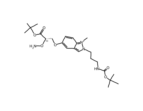 C[n+]1c2ccc(OC[C@H](ON)C(=O)OC(C)(C)C)cc2cn1CCCNC(=O)OC(C)(C)C